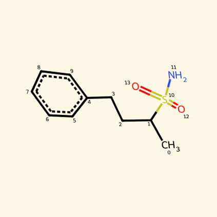 CC(CCc1ccccc1)S(N)(=O)=O